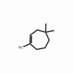 CC1(C)CC=C(C#N)CCC1